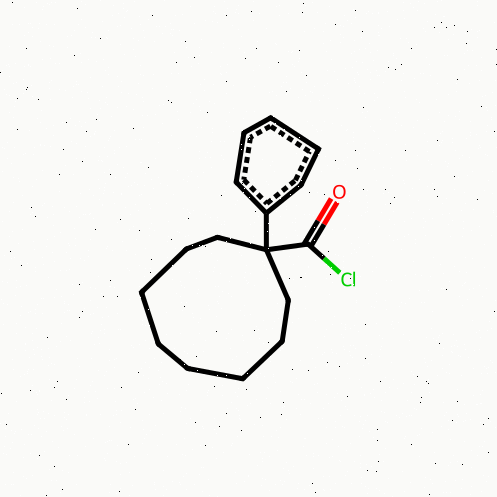 O=C(Cl)C1(c2ccccc2)CCCCCCCC1